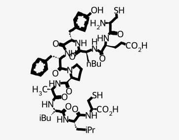 CCCC[C@H](NC(=O)[C@H](CCC(=O)O)NC(=O)[C@@H](N)CS)C(=O)N[C@@H](Cc1ccc(O)cc1)C(=O)N[C@@H](Cc1ccccc1)C(=O)N1CCC[C@H]1C(=O)N[C@@H](C)C(=O)N[C@H](C(=O)N[C@@H](CC(C)C)C(=O)N[C@@H](CS)C(=O)O)[C@@H](C)CC